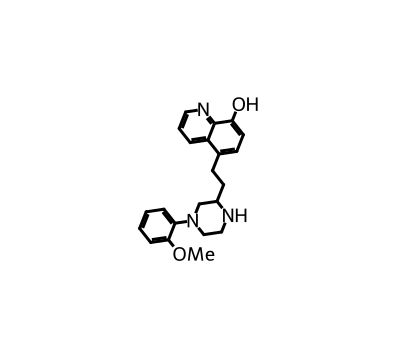 COc1ccccc1N1CCNC(CCc2ccc(O)c3ncccc23)C1